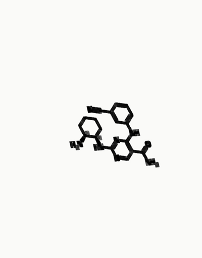 N#Cc1cccc(Nc2nc(N[C@@H]3CCCC[C@@H]3N)ncc2C(N)=O)c1